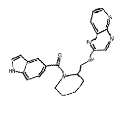 O=C(c1ccc2[nH]ccc2c1)N1CCCCC1CNc1cnc2ncccc2n1